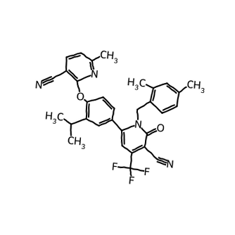 Cc1ccc(Cn2c(-c3ccc(Oc4nc(C)ccc4C#N)c(C(C)C)c3)cc(C(F)(F)F)c(C#N)c2=O)c(C)c1